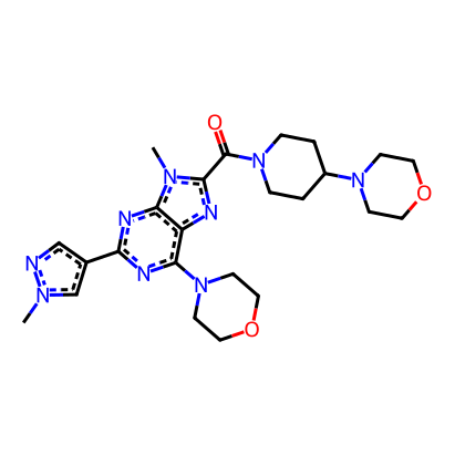 Cn1cc(-c2nc(N3CCOCC3)c3nc(C(=O)N4CCC(N5CCOCC5)CC4)n(C)c3n2)cn1